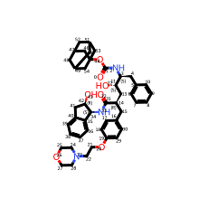 O=C(N[C@@H](Cc1ccccc1)[C@@H](O)C[C@@H](Cc1ccc(OCCN2CCOCC2)cc1)C(=O)N[C@H]1c2ccccc2C[C@H]1O)OC12CC3CC(CC(C3)C1)C2